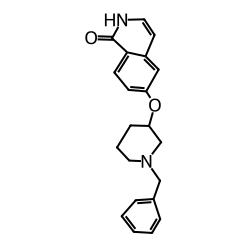 O=c1[nH]ccc2cc(OC3CCCN(Cc4ccccc4)C3)ccc12